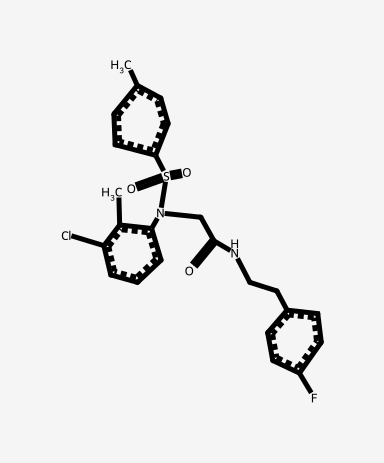 Cc1ccc(S(=O)(=O)N(CC(=O)NCCc2ccc(F)cc2)c2cccc(Cl)c2C)cc1